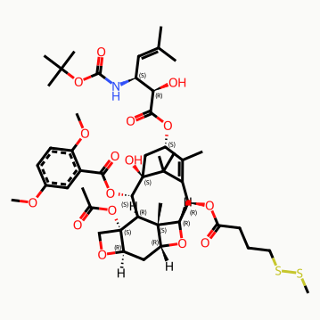 COc1ccc(OC)c(C(=O)O[C@H]2[C@@H]3[C@]4(OC(C)=O)CO[C@@H]4C[C@H]4O[C@@H]([C@H](OC(=O)CCCSSC)C5=C(C)[C@@H](OC(=O)[C@H](O)[C@H](C=C(C)C)NC(=O)OC(C)(C)C)C[C@]2(O)C5(C)C)[C@@]34C)c1